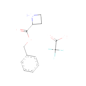 O=C(O)C(F)(F)F.O=C(OCc1ccccc1)C1CCN1